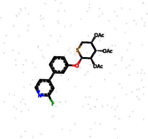 CC(=O)O[C@@H]1[C@@H](OC(C)=O)[C@@H](Oc2cccc(-c3ccnc(F)c3)c2)SC[C@H]1OC(C)=O